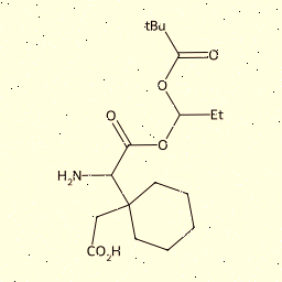 CCC(OC(=O)C(N)C1(CC(=O)O)CCCCC1)OC(=O)C(C)(C)C